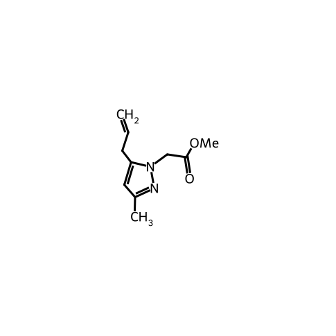 C=CCc1cc(C)nn1CC(=O)OC